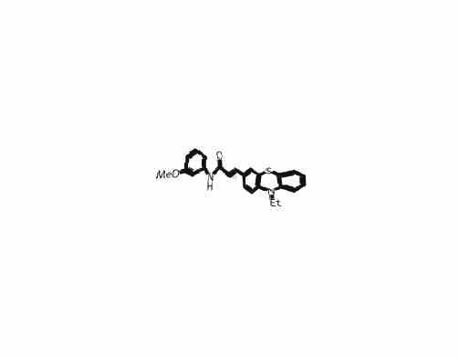 CCN1c2ccccc2Sc2cc(/C=C/C(=O)Nc3cccc(OC)c3)ccc21